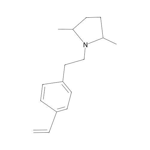 C=Cc1ccc(CCN2C(C)CCC2C)cc1